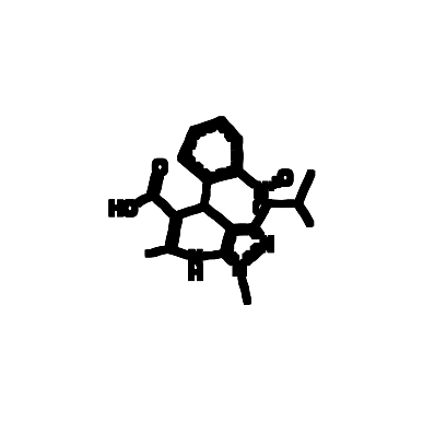 CC1=C(C(=O)O)C(c2ccccc2[N+](=O)[O-])c2c(CC(C)C)nn(C)c2N1